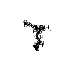 Cc1cccc(-c2nc(CNCc3ccccc3-c3ccc(CNC(=O)OCc4ccc(NC(=O)[C@H](CCCNC(N)=O)NC(=O)C(NC(=O)CCOCCOCCOCCOCCN5C(=O)C=CC5=O)C(C)C)cc4)cc3)[nH]c2-c2ccc3ncnn3c2)n1